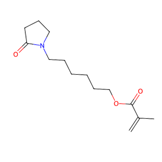 C=C(C)C(=O)OCCCCCCN1CCCC1=O